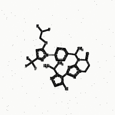 CC(c1ccc(-n2nc(C(F)(F)F)cc2OCC(F)F)cc1)N1C(=O)CCn2nc(-c3c(Cl)cnn3C(C)C)nc21